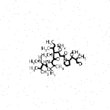 CCC(C)C(C(CC(=O)N1CCCC1C(OC)C(C)C=O)OC)N(C)C(=O)[C@@H](NC(=O)C(NC)C(C)C)C(C)C